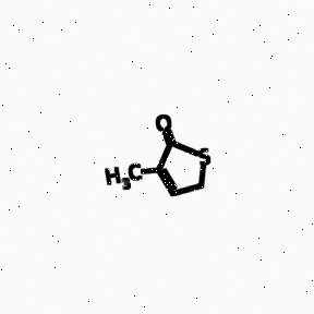 CC1=CCSC1=O